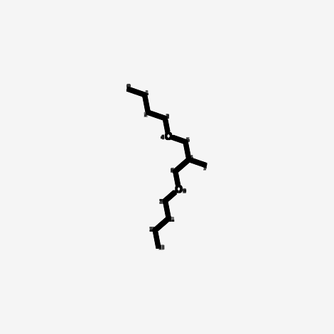 CCCCOCC(C)COCCCC